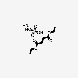 CCOC(=O)CCC(=O)OCC.O=S(=O)(O)O.[NaH]